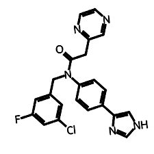 O=C(Cc1cnccn1)N(Cc1cc(F)cc(Cl)c1)c1ccc(-c2c[nH]cn2)cc1